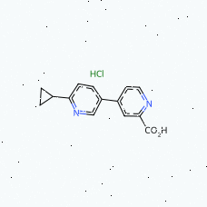 Cl.O=C(O)c1cc(-c2ccc(C3CC3)nc2)ccn1